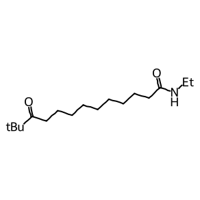 CCNC(=O)CCCCCCCCCC(=O)C(C)(C)C